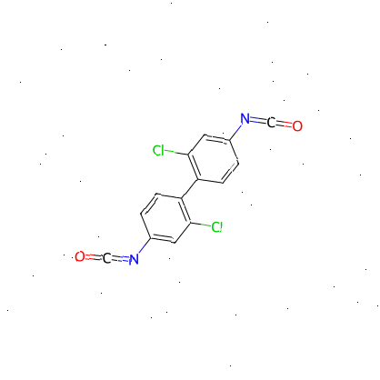 O=C=Nc1ccc(-c2ccc(N=C=O)cc2Cl)c(Cl)c1